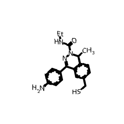 CCNC(=O)N1N=C(c2ccc(N)cc2)c2cc(CS)ccc2C1C